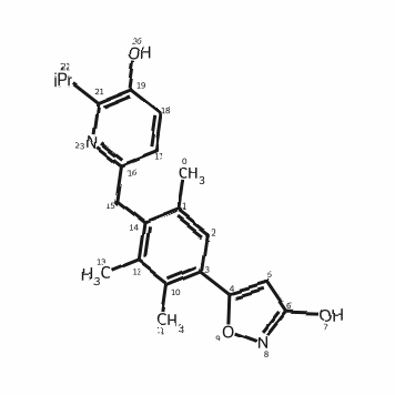 Cc1cc(-c2cc(O)no2)c(C)c(C)c1Cc1ccc(O)c(C(C)C)n1